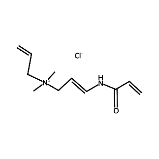 C=CC[N+](C)(C)CC=CNC(=O)C=C.[Cl-]